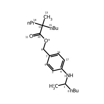 CCCCC(C)Nc1ccc(COC(=O)C(C)(CCC)CCCC)cc1